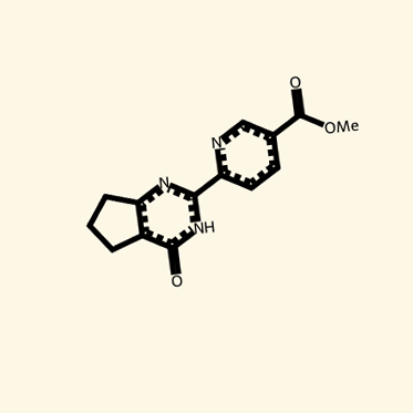 COC(=O)c1ccc(-c2nc3c(c(=O)[nH]2)CCC3)nc1